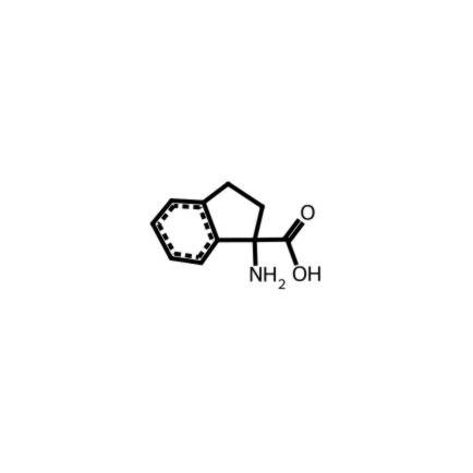 NC1(C(=O)O)CCc2ccccc21